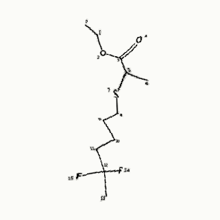 CCOC(=O)C(C)SCCCCC(C)(F)F